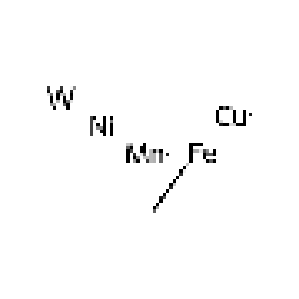 [CH3][Fe].[Cu].[Mn].[Ni].[W]